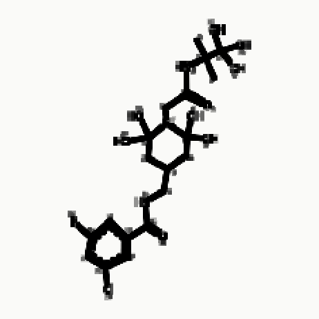 CC(C)(NC(=O)CN1C(O)(O)CC(CNC(=O)c2cc(F)cc(Cl)c2)CC1(O)O)C(O)(O)O